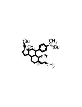 C=C/C=C1/CCC2C(C1CCC)C(c1ccc(N(C)C(C)(C)C)cc1)CC1(C)C2CCP1#CC(C)(C)C